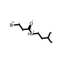 CC(C)CCNC(=O)CCBr